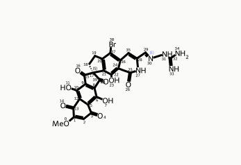 COC1=CC(=O)c2c(O)c3c(c(O)c2C1=O)C(=O)[C@]1(CCc2c1c(O)c1c(=O)[nH]c(/C=N/NC(=N)N)cc1c2Br)C3=O